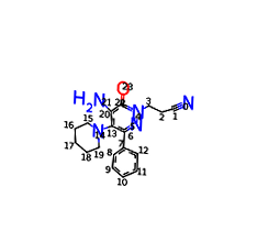 N#CCCn1nc(-c2ccccc2)c(N2CCCCC2)c(N)c1=O